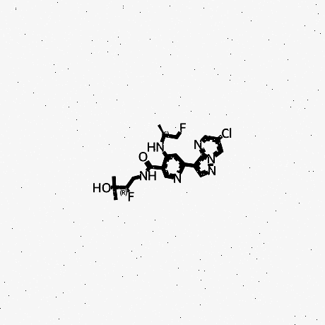 C[C@@H](CF)Nc1cc(-c2cnn3cc(Cl)cnc23)ncc1C(=O)NC[C@@H](F)C(C)(C)O